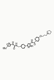 CC(C)(C)c1cc(NC(=O)NCc2ccc(-c3cc(NC(=O)c4ccc(OCCCN5CCCC5)cc4)[nH]n3)cc2)no1